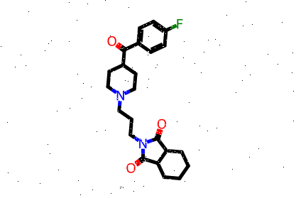 O=C(c1ccc(F)cc1)C1CCN(CCCN2C(=O)C3CCCCC3C2=O)CC1